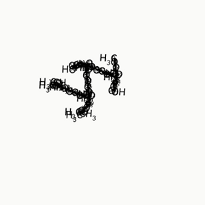 CCOCCOCCNC(=O)C(Cc1ccc(OCC(=O)O)cc1)NC(=O)CCOCCOCCOCCONC(=O)C(Cc1ccc(OCC(=O)O)cc1)NC(=O)CCOCCOCCOCCONC(=O)C(Cc1ccc(OCC(=O)OC(C)(C)C)cc1)NC(=O)CCOCCOCCOCCOCCNC(=O)OC(C)(C)C